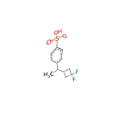 CC(c1ccc(S(=O)(=O)O)cc1)C1CC(F)(F)C1